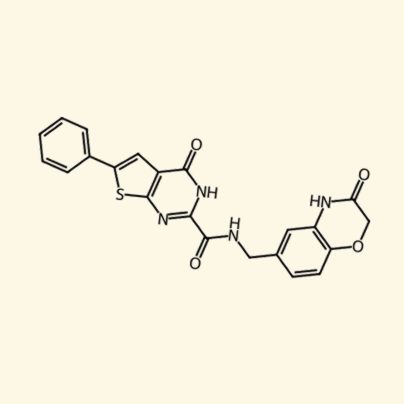 O=C1COc2ccc(CNC(=O)c3nc4sc(-c5ccccc5)cc4c(=O)[nH]3)cc2N1